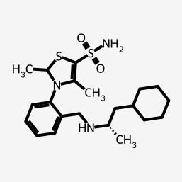 CC1=C(S(N)(=O)=O)SC(C)N1c1ccccc1CN[C@@H](C)CC1CCCCC1